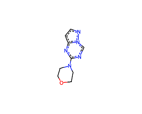 c1cc2nc(N3CCOCC3)ncn2n1